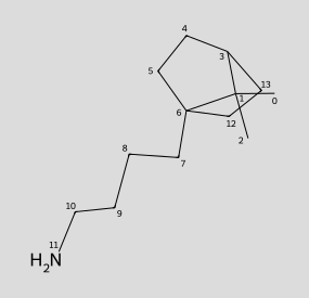 CC1(C)C2CCC1(CCCCN)CC2